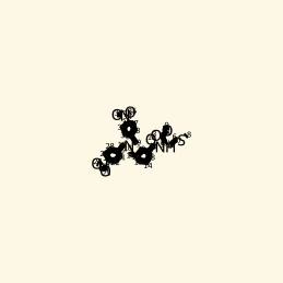 COC(=O)[C@H](CCSC)NC(=O)c1cccc(CN(Cc2ccc([N+](=O)[O-])cc2)Cc2ccc([N+](=O)[O-])cc2)c1